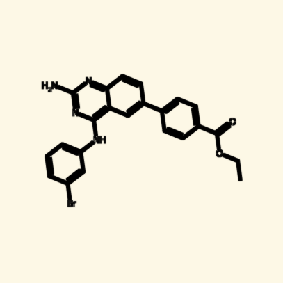 CCOC(=O)c1ccc(-c2ccc3nc(N)nc(Nc4cccc(Br)c4)c3c2)cc1